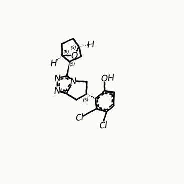 Oc1ccc(Cl)c(Cl)c1[C@@H]1Cc2nnc([C@@H]3C[C@@H]4CC[C@H]3O4)n2C1